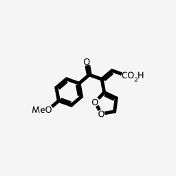 COc1ccc(C(=O)C(=CC(=O)O)C2=CCOO2)cc1